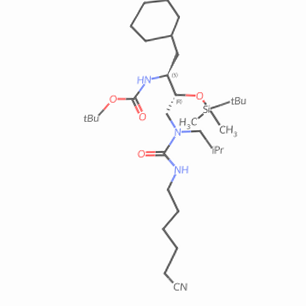 CC(C)CN(C[C@@H](O[Si](C)(C)C(C)(C)C)[C@H](CC1CCCCC1)NC(=O)OC(C)(C)C)C(=O)NCCCCCC#N